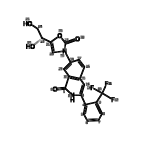 O=c1[nH]c(-c2ccccc2C(F)(F)F)cc2ccc(-n3cc([C@H](O)CO)oc3=O)cc12